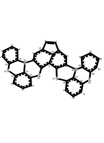 C1=Cc2cc3c(c4c5c(cc1c24)B1c2ccccc2Sc2cccc(c21)S5)Sc1cccc2c1B3c1ccccc1S2